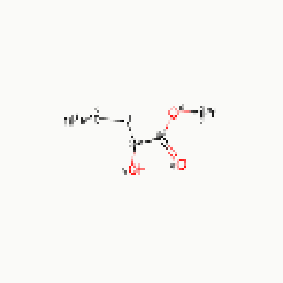 CCCCCCC(O)C(=O)OC(C)C